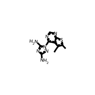 Cc1sc2ncnc(-n3nc(N)nc3N)c2c1C